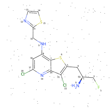 N[C@H](CF)Cc1sc2c(NCc3nccs3)cc(Cl)nc2c1Cl